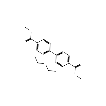 CCOCC.COC(=O)c1ccc(-c2ccc(C(=O)OC)cc2)cc1